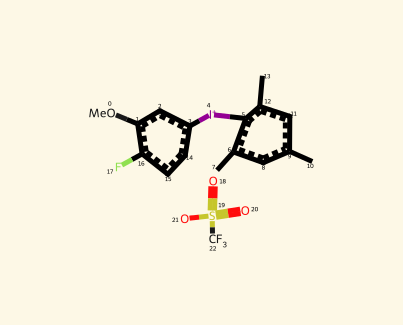 COc1cc([I+]c2c(C)cc(C)cc2C)ccc1F.O=S(=O)([O-])C(F)(F)F